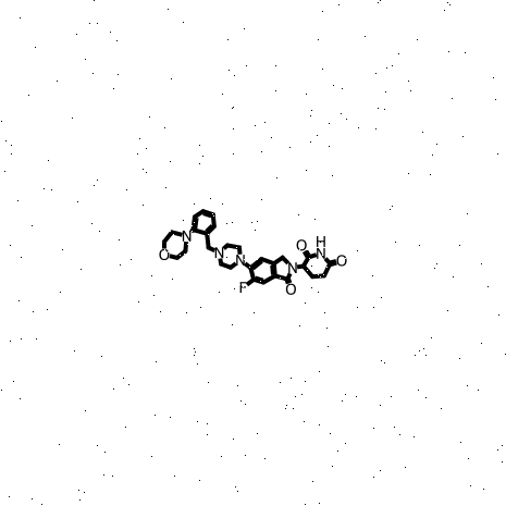 O=C1CCC(N2Cc3cc(N4CCN(Cc5ccccc5N5CCOCC5)CC4)c(F)cc3C2=O)C(=O)N1